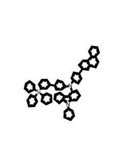 c1ccc(-n2c3ccccc3c3c(N(c4ccc(-c5cccc([Si](c6ccccc6)(c6ccccc6)c6ccccc6)c5)cc4)c4ccc(-c5ccc6c(ccc7ccccc76)c5)cc4)cccc32)cc1